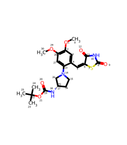 COc1cc(C=C2SC(=O)NC2=O)c(N2CC[C@H](NC(=O)OC(C)(C)C)C2)cc1OC